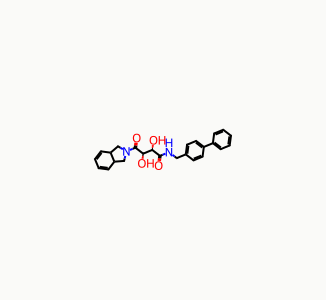 O=C(NCc1ccc(-c2ccccc2)cc1)[C@H](O)[C@@H](O)C(=O)N1CC2C=CC=CC2C1